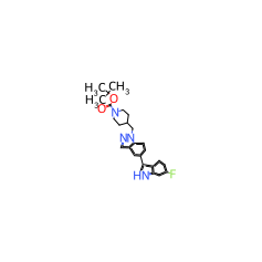 CC(C)(C)OC(=O)N1CCC(Cn2ncc3cc(-c4c[nH]c5cc(F)ccc45)ccc32)CC1